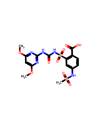 COc1cc(OC)nc(NC(=O)NS(=O)(=O)c2cc(NS(C)(=O)=O)ccc2C(=O)O)n1